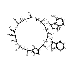 C/C=C1\NC(=O)[C@@H](C)NC(=O)CNC(=O)[C@H](Cc2c[nH]c3cccc(Cl)c23)NC(=O)[C@H](Cc2c[nH]c3ccccc23)NC(=O)c2csc(n2)[C@@H](C)NC(=O)CN(C)C1=O